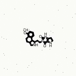 COc1cccc2c1CCC1CNC(CCn3c(=O)[nH]c4c(c3=O)NCC4)C21